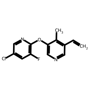 C=Cc1cncc(Oc2ncc(Cl)cc2F)c1C